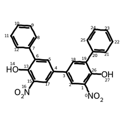 O=[N+]([O-])c1cc(-c2cc(-c3ccccc3)c(O)c([N+](=O)[O-])c2)cc(-c2ccccc2)c1O